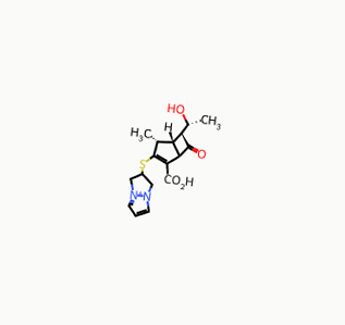 C[C@@H](O)[C@H]1C(=O)C2C(C(=O)O)=C(SC3Cn4ccc[n+]4C3)[C@H](C)[C@@H]21